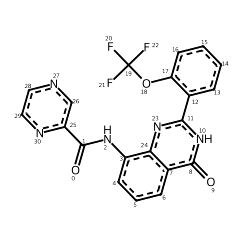 O=C(Nc1cccc2c(=O)[nH]c(-c3ccccc3OC(F)(F)F)nc12)c1cnccn1